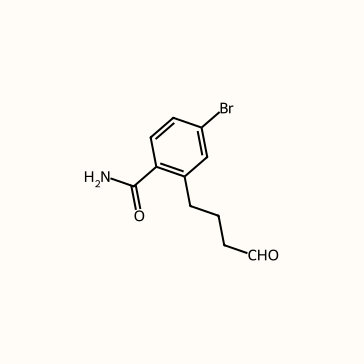 NC(=O)c1ccc(Br)cc1CCCC=O